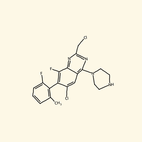 Cc1cccc(F)c1-c1c(Cl)cc2c(N3CCNCC3)nc(CCl)nc2c1F